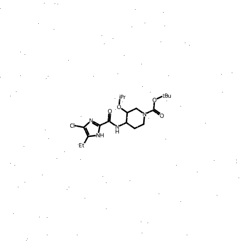 CCc1[nH]c(C(=O)NC2CCN(C(=O)OC(C)(C)C)CC2OC(C)C)nc1Cl